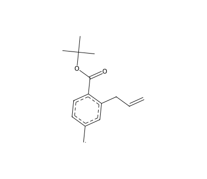 [CH2]c1ccc(C(=O)OC(C)(C)C)c(CC=C)c1